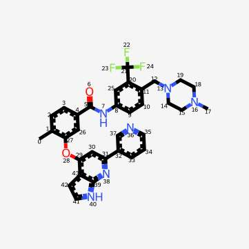 Cc1ccc(C(=O)Nc2ccc(CN3CCN(C)CC3)c(C(F)(F)F)c2)cc1Oc1cc(-c2cccnc2)nc2[nH]ccc12